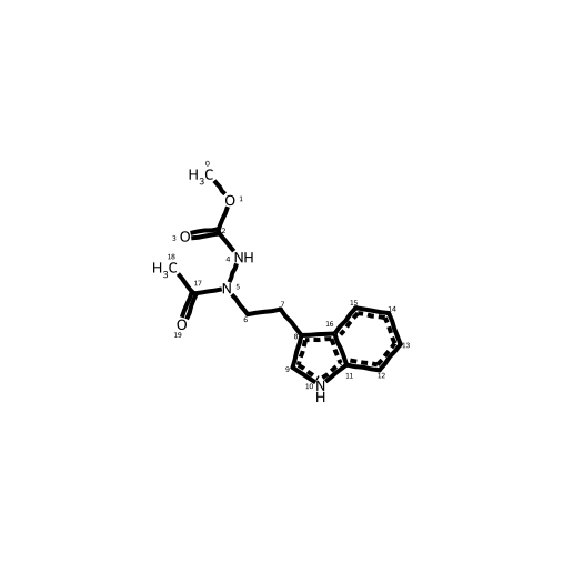 COC(=O)NN(CCc1c[nH]c2ccccc12)C(C)=O